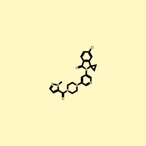 Cn1nccc1C(=O)N1CCN(c2cncc(N3C(=O)c4ccc(Cl)cc4C34CC4)c2)CC1